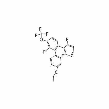 CCCc1ccc(-c2c(-c3c(F)cccc3F)ccc(OC(F)(F)F)c2F)cc1